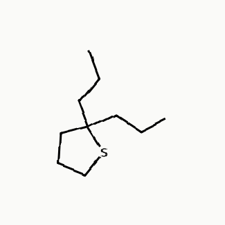 CCCC1(CCC)CCCS1